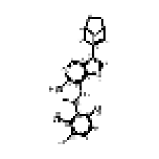 C[C@@H](Oc1c(N)ncc2c(C3=CC4CCC(C3)N4)coc12)c1c(Cl)ccc(F)c1Cl